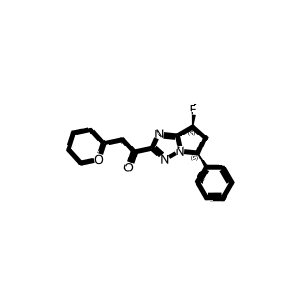 O=C(CC1CCCCO1)c1nc2n(n1)[C@H](c1ccccc1)C[C@@H]2F